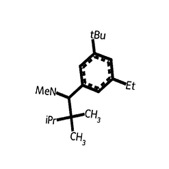 CCc1cc(C(NC)C(C)(C)C(C)C)cc(C(C)(C)C)c1